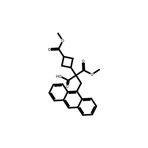 COC(=O)C1CC(C(Cc2c3ccccc3cc3ccccc23)(C(=O)O)C(=O)OC)C1